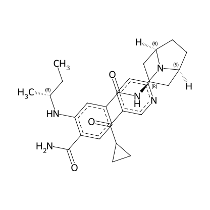 CC[C@@H](C)Nc1cc(C(=O)N[C@H]2C[C@H]3CC[C@@H](C2)N3c2ccc(C(=O)C3CC3)cn2)ccc1C(N)=O